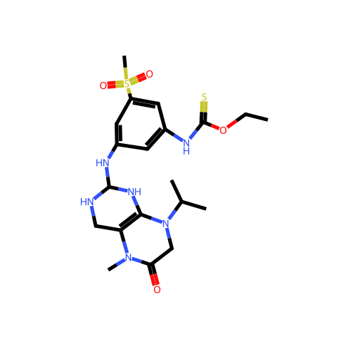 CCOC(=S)Nc1cc(NC2NCC3=C(N2)N(C(C)C)CC(=O)N3C)cc(S(C)(=O)=O)c1